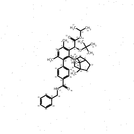 Cc1nc(C)c([C@H](OC(C)(C)C)C(=O)OC(C)C)c(N2CC3CCC(C)(C2)C3(C)C)c1-c1ccc(C(=O)NCc2ccccc2)cc1